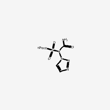 CCCCCS(=O)(=O)N(C(N)=O)n1ccnn1